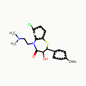 COc1ccc(C2Sc3ccc(Cl)cc3N(CCN(C)C)C(=O)C2O)cc1